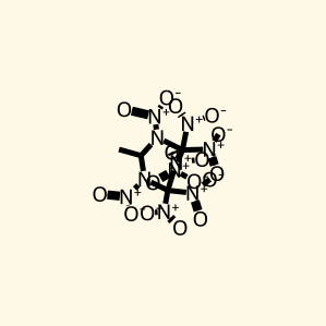 CC(N([N+](=O)[O-])C([N+](=O)[O-])([N+](=O)[O-])[N+](=O)[O-])N([N+](=O)[O-])C([N+](=O)[O-])([N+](=O)[O-])[N+](=O)[O-]